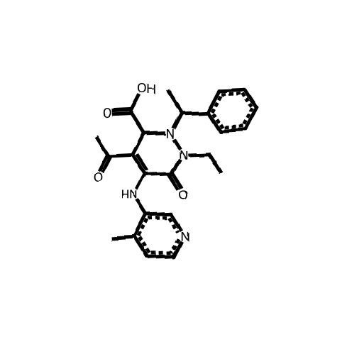 CCN1C(=O)C(Nc2cnccc2C)=C(C(C)=O)C(C(=O)O)N1C(C)c1ccccc1